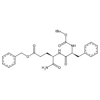 CC(C)(C)OC(=O)N[C@@H](Cc1ccccc1)C(=O)N[C@H](CCC(=O)OCc1ccccc1)C(N)=O